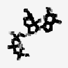 Nc1nc2c(ccn2[C@@H]2O[C@H](COP(=O)(O)OP(=O)(O)OP(=O)(O)O)C(CO)C2(Cl)C#CCl)c(=O)[nH]1